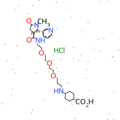 CN1C(=O)C[C@H](C(=O)NCCOCCOCCOCCCNC2CCC(C(=O)O)CC2)[C@H]1c1cccnc1.Cl